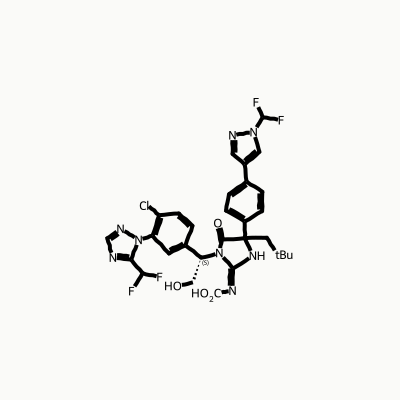 CC(C)(C)CC1(c2ccc(-c3cnn(C(F)F)c3)cc2)NC(=NC(=O)O)N([C@H](CO)c2ccc(Cl)c(-n3ncnc3C(F)F)c2)C1=O